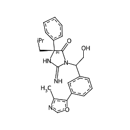 Cc1ncoc1-c1cccc(C(CO)N2C(=N)N[C@](CC(C)C)(c3ccccc3)C2=O)c1